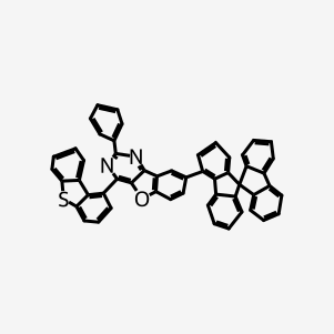 c1ccc(-c2nc(-c3cccc4sc5ccccc5c34)c3oc4ccc(-c5cccc6c5-c5ccccc5C65c6ccccc6-c6ccccc65)cc4c3n2)cc1